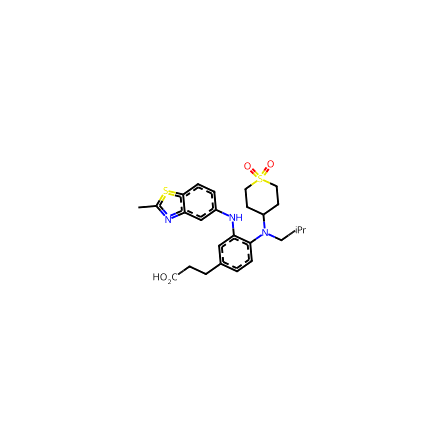 Cc1nc2cc(Nc3cc(CCC(=O)O)ccc3N(CC(C)C)C3CCS(=O)(=O)CC3)ccc2s1